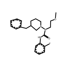 COCCN(C(=O)Nc1ccccc1F)N1CCCC(Cc2ccccc2)C1